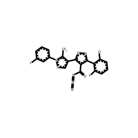 [N-]=[N+]=NC(=O)c1c(-c2c(F)cccc2Cl)noc1-c1cnn(-c2cccc(F)c2)c1C(F)(F)F